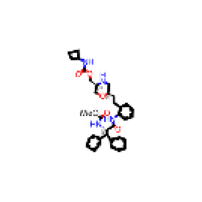 COC(=O)N[C@H](C(=O)Nc1ccccc1CC[C@@H]1CN[C@H](COC(=O)NC2CCC2)CO1)C(c1ccccc1)c1ccccc1